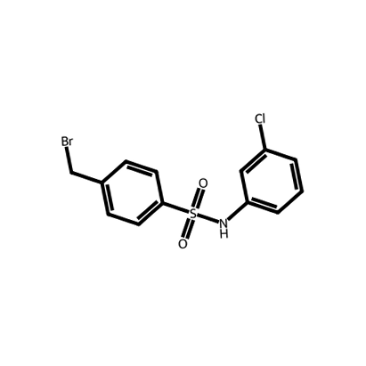 O=S(=O)(Nc1cccc(Cl)c1)c1ccc(CBr)cc1